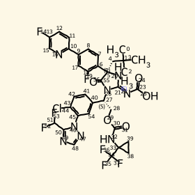 CC(C)(C)C[C@]1(c2ccc(-c3ccc(F)cn3)cc2F)N/C(=N\C(=O)O)N([C@H](COC(=O)NC2(C(F)(F)F)CC2)c2ccc(Cl)c(-n3ncnc3C(F)F)c2)C1=O